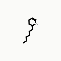 CCCCCCC1CCC=CO1